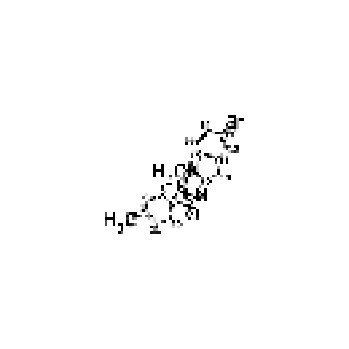 Cc1ccc(S(=O)(=O)N=C2Cc3cc(Br)ccc3N2C)cc1